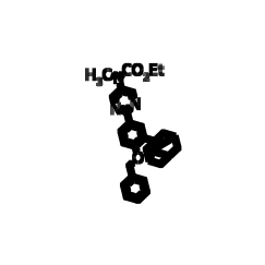 CCOC(=O)N(C)c1cnc(-c2ccc(OCc3ccccc3)c(C34CC5CC(CC(C5)C3)C4)c2)nc1